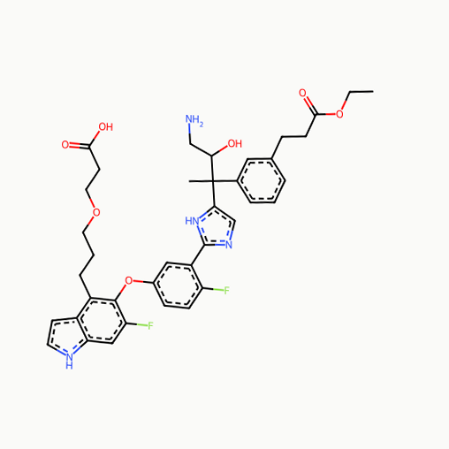 CCOC(=O)CCc1cccc(C(C)(c2cnc(-c3cc(Oc4c(F)cc5[nH]ccc5c4CCCOCCC(=O)O)ccc3F)[nH]2)C(O)CN)c1